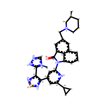 C[C@H]1CCCN(Cc2cc3c4c(cccc4c2)N(c2cc(-c4nsnc4-c4nncn4C)cc(C4CC4)n2)C3=O)C1